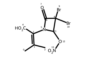 CC(C)=C(C(=O)O)N1C(=O)C(Br)(Br)C1O[N+](=O)[O-]